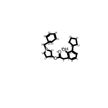 O=C(Cc1cccc(C2CCCC2)c1O)OC1CCN(Cc2ccccc2)C1